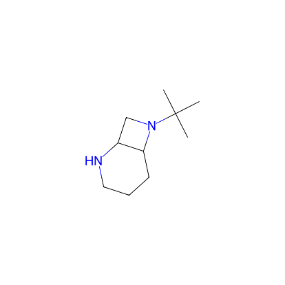 CC(C)(C)N1CC2NCCCC21